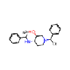 CCCC(N[C@H]1CCN(C(CC)c2ccccc2)C[C@@H]1O)c1ccccc1